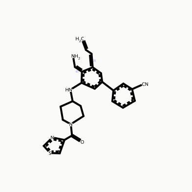 C=C/C=c1/cc(-c2cccc(C#N)c2)cc(NC2CCN(C(=O)c3cscn3)CC2)/c1=C/N